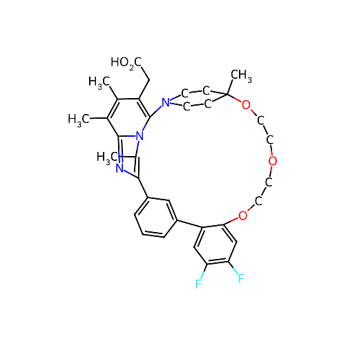 Cc1c(CC(=O)O)c2n3c(C)c(nc3c1C)-c1cccc(c1)-c1cc(F)c(F)cc1OCCOCCOC1(C)CCN2CC1